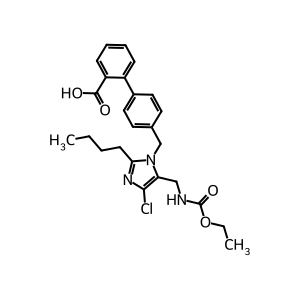 CCCCc1nc(Cl)c(CNC(=O)OCC)n1Cc1ccc(-c2ccccc2C(=O)O)cc1